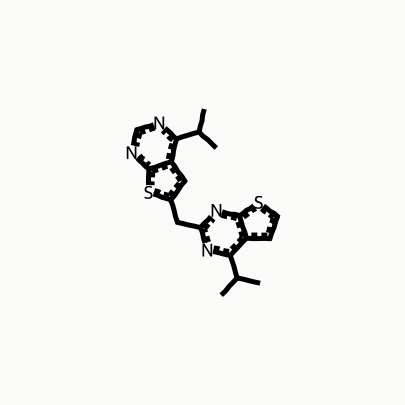 CC(C)c1nc(Cc2cc3c(C(C)C)ncnc3s2)nc2sccc12